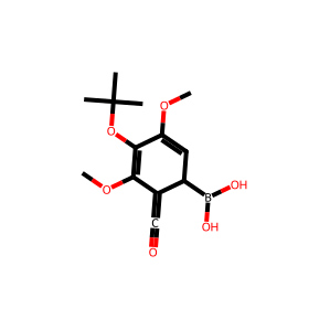 COC1=CC(B(O)O)C(=C=O)C(OC)=C1OC(C)(C)C